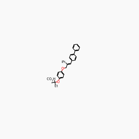 CCC(C)(Oc1ccc(OC/C(=C/c2ccc(-c3ccccc3)cc2)C(C)C)cc1)C(=O)O